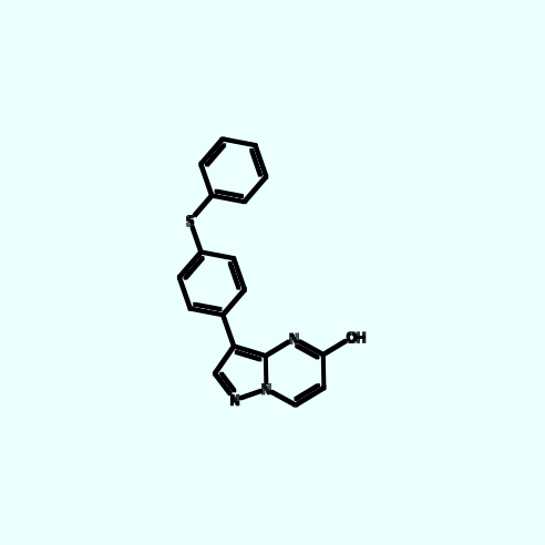 Oc1ccn2ncc(-c3ccc(Sc4ccccc4)cc3)c2n1